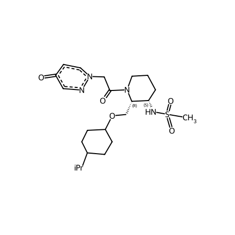 CC(C)C1CCC(OC[C@H]2[C@@H](NS(C)(=O)=O)CCCN2C(=O)Cn2ccc(=O)cn2)CC1